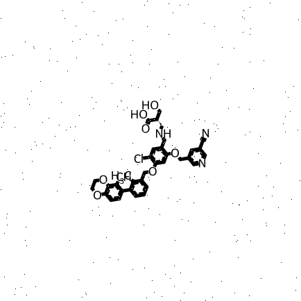 Cc1c(COc2cc(OCc3cncc(C#N)c3)c(CNC[C@@H](CO)C(=O)O)cc2Cl)cccc1-c1ccc2c(c1C)OCCO2